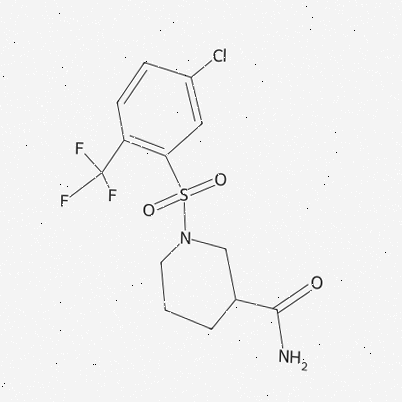 NC(=O)C1CCCN(S(=O)(=O)c2cc(Cl)ccc2C(F)(F)F)C1